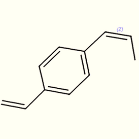 C=Cc1ccc(/C=C\C)cc1